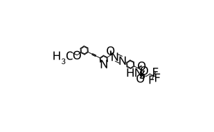 CCOc1cccc(C#Cc2cncc(C(=O)N3CCN(c4ccc(C(=O)NS(=O)(=O)CCC(F)(F)F)cc4)CC3)c2)c1